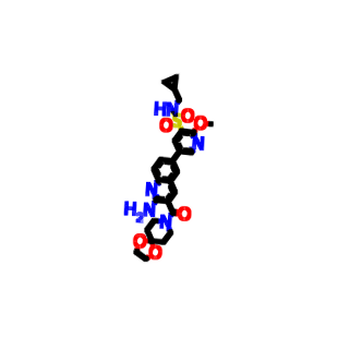 COc1ncc(-c2ccc3nc(N)c(C(=O)N4CCC5(CC4)OCCO5)cc3c2)cc1S(=O)(=O)NCC1CC1